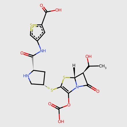 CC(O)[C@H]1C(=O)N2C(OC(=O)O)=C(S[C@@H]3CN[C@H](C(=O)Nc4csc(C(=O)O)c4)C3)S[C@H]12